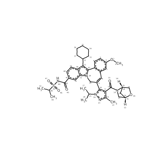 COc1ccc2c(c1)C=C(c1c(C(=O)N3C[C@@H]4C[C@H]3CO4)c(C)nn1C(C)C)Cn1c-2c(C2CCCCC2)c2ccc(C(=O)NS(=O)(=O)C(C)C)cc21